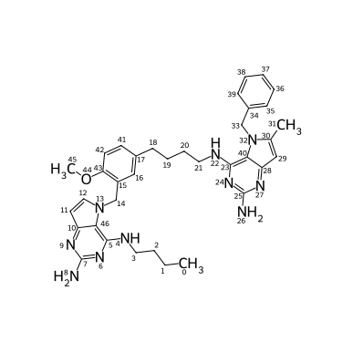 CCCCNc1nc(N)nc2ccn(Cc3cc(CCCCNc4nc(N)nc5cc(C)n(Cc6ccccc6)c45)ccc3OC)c12